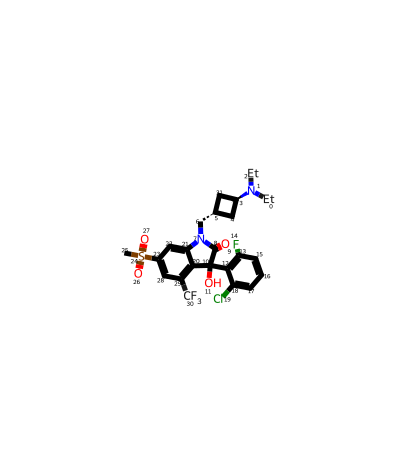 CCN(CC)[C@H]1C[C@H](CN2C(=O)C(O)(c3c(F)cccc3Cl)c3c2cc(S(C)(=O)=O)cc3C(F)(F)F)C1